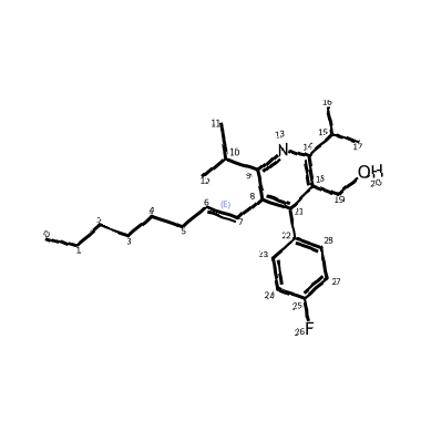 CCCCCC/C=C/c1c(C(C)C)nc(C(C)C)c(CO)c1-c1ccc(F)cc1